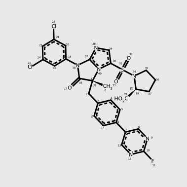 C[C@@]1(Cc2ccc(-c3cnc(F)nc3)cc2)C(=O)N(c2cc(Cl)cc(Cl)c2)c2ncc(S(=O)(=O)N3CCC[C@H]3C(=O)O)n21